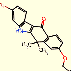 CC1(C)c2cc(OCC(=O)O)ccc2C(=O)c2c1[nH]c1cc(Br)ccc21